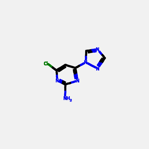 Nc1nc(Cl)cc(-n2cncn2)n1